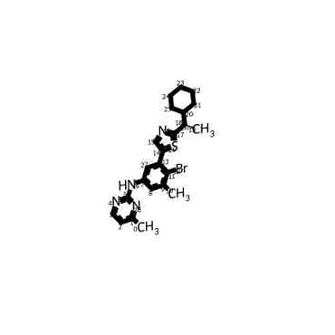 Cc1ccnc(Nc2cc(C)c(Br)c(-c3cnc([C@@H](C)C4CCCCC4)s3)c2)n1